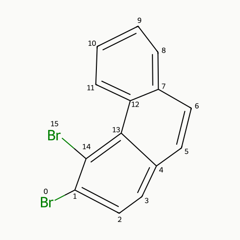 Brc1ccc2ccc3ccccc3c2c1Br